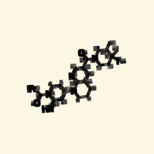 CC(C)C(=O)n1ccc(N2CCCc3cc(C(=O)N4CCC(C)(F)C(C)C4)cnc32)cc1=N